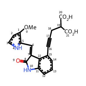 COc1cc[nH]c1C=C1C(=O)Nc2cccc(C#CCC(C(=O)O)C(=O)O)c21